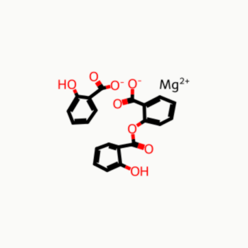 O=C(Oc1ccccc1C(=O)[O-])c1ccccc1O.O=C([O-])c1ccccc1O.[Mg+2]